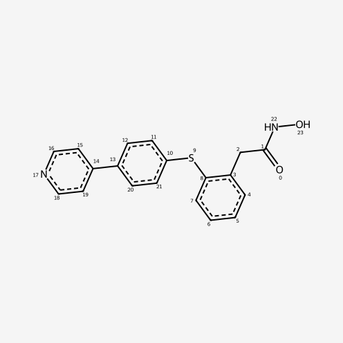 O=C(Cc1ccccc1Sc1ccc(-c2ccncc2)cc1)NO